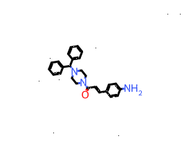 Nc1ccc(/C=C/C(=O)N2CCN(C(c3ccccc3)c3ccccc3)CC2)cc1